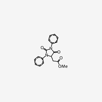 COC(=O)CC1C(=O)N(c2ccccc2)C(=O)N1c1ccccc1